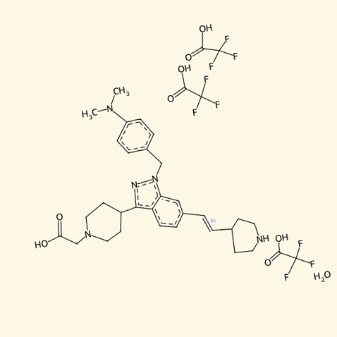 CN(C)c1ccc(Cn2nc(C3CCN(CC(=O)O)CC3)c3ccc(/C=C/C4CCNCC4)cc32)cc1.O.O=C(O)C(F)(F)F.O=C(O)C(F)(F)F.O=C(O)C(F)(F)F